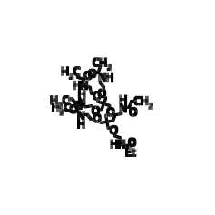 C=CC(=O)NCCCC(COCCNC(=O)C=C)(COCCNC(=O)CC)COCC(COCCNC(=O)C=C)(COCCNC(=O)C=C)COCCNC(=O)C=C